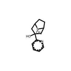 CN1C2CCC1CC(O)(c1ccccn1)C2